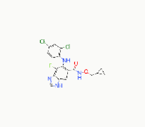 O=C(NOCC1CC1)c1cc2[nH]cnc2c(F)c1Nc1ccc(Cl)cc1Cl